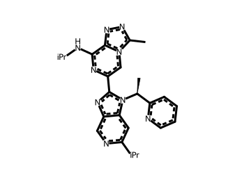 Cc1nnc2c(NC(C)C)nc(-c3nc4cnc(C(C)C)cc4n3[C@@H](C)c3ccccn3)cn12